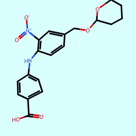 O=C(O)c1ccc(Nc2ccc(COC3CCCCO3)cc2[N+](=O)[O-])cc1